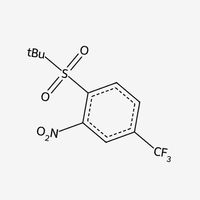 CC(C)(C)S(=O)(=O)c1ccc(C(F)(F)F)cc1[N+](=O)[O-]